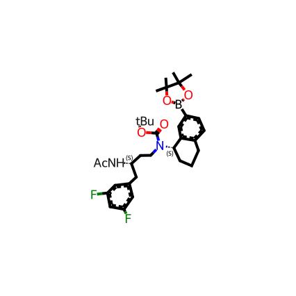 CC(=O)N[C@H](CCN(C(=O)OC(C)(C)C)[C@H]1CCCc2ccc(B3OC(C)(C)C(C)(C)O3)cc21)Cc1cc(F)cc(F)c1